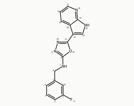 Fc1cccc(CNc2nnc(-c3c[nH]c4ncccc34)o2)c1